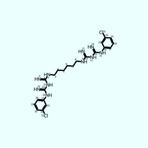 N=C(NCCCCCCNC(=N)NC(=N)Nc1cccc(Cl)c1)NC(=N)Nc1cccc(Cl)c1